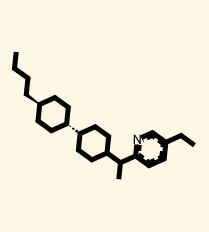 CCCC[C@H]1CC[C@H](C2CCC(C(C)c3ccc(CC)cn3)CC2)CC1